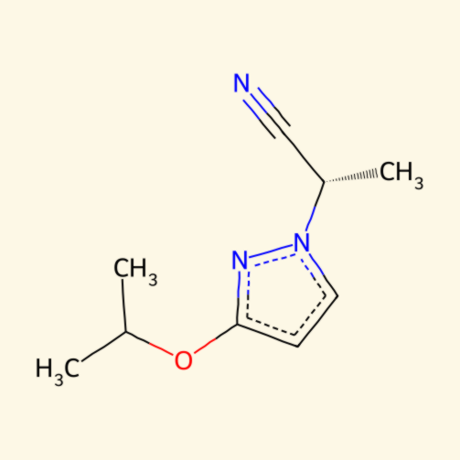 CC(C)Oc1ccn([C@@H](C)C#N)n1